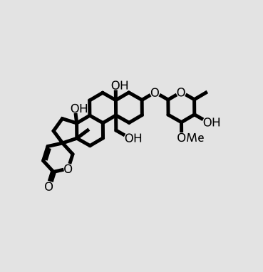 COC1CC(OC2CCC3(CO)C4CCC5(C)C6(C=CC(=O)OC6)CCC5(O)C4CCC3(O)C2)OC(C)C1O